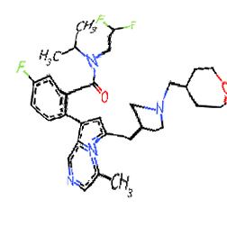 Cc1cncc2c(-c3ccc(F)cc3C(=O)N(CC(F)F)C(C)C)cc(CC3CN(CC4CCOCC4)C3)n12